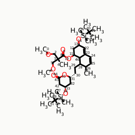 COCC(C)(COC)C(=O)OC1CC(O[Si](C)(C)C(C)(C)C)C=C2C=CC(C)C(CC[C@@H]3C[C@@H](O[Si](C)(C)C(C)(C)C)CC(=O)O3)C21